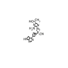 CC(O)c1cnc(N2CC[C@H]([C@H](CC#N)n3cc(-c4ncnc5[nH]ccc45)cn3)C2)c(N)n1